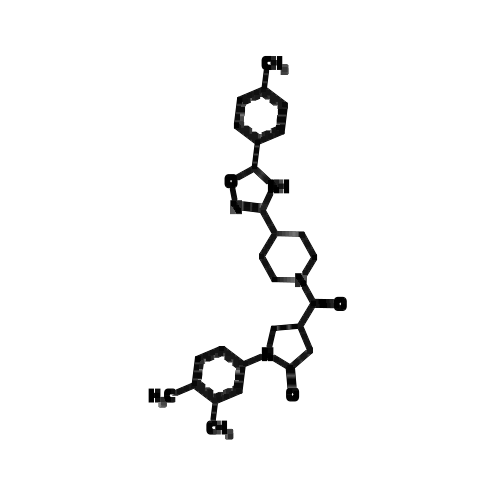 Cc1ccc(C2NC(C3CCN(C(=O)C4CC(=O)N(c5ccc(C)c(C)c5)C4)CC3)=NO2)cc1